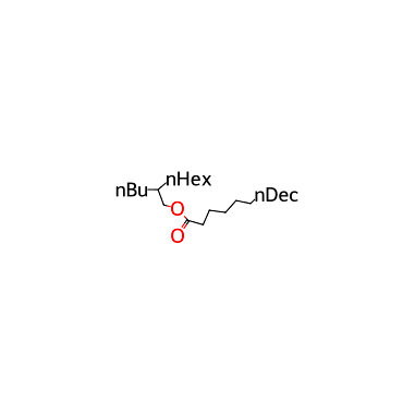 CCCCCCCCCCCCCCCC(=O)OCC(CCCC)CCCCCC